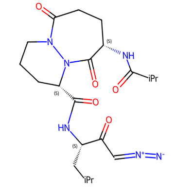 CC(C)C[C@H](NC(=O)[C@@H]1CCCN2C(=O)CC[C@H](NC(=O)C(C)C)C(=O)N12)C(=O)C=[N+]=[N-]